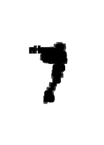 C=CC(=O)OCCCCCCOc1ccc(OC(=O)[C@H]2CC[C@H](OC(=O)c3ccccc3/C=C/N(CCCCCC)Nc3c(S)cccc3OC)CC2)cc1